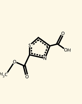 COC(=O)c1nc(C(=O)O)cs1